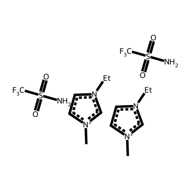 CCn1cc[n+](C)c1.CCn1cc[n+](C)c1.NS(=O)(=O)C(F)(F)F.NS(=O)(=O)C(F)(F)F